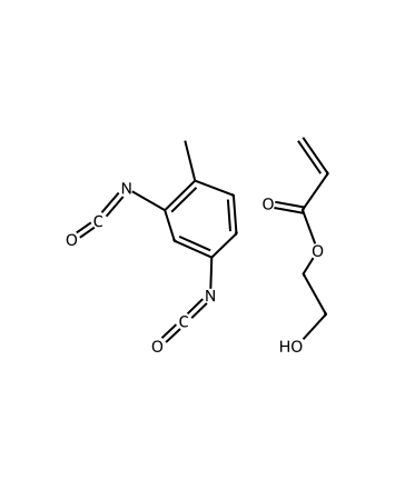 C=CC(=O)OCCO.Cc1ccc(N=C=O)cc1N=C=O